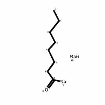 CCCCCCC[C](=O)[Na].[NaH]